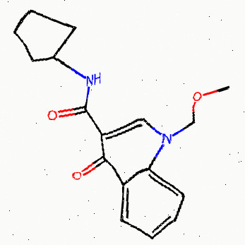 COCn1cc(C(=O)NC2CCCC2)c(=O)c2ccccc21